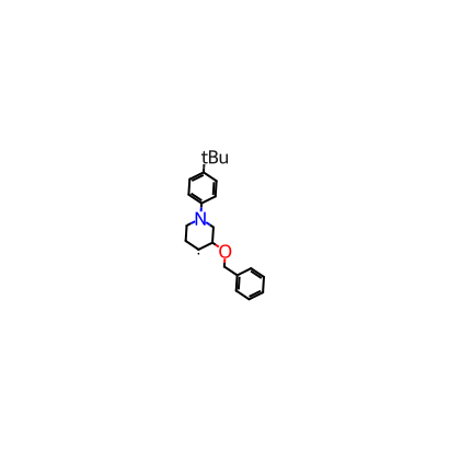 CC(C)(C)c1ccc(N2CC[CH]C(OCc3ccccc3)C2)cc1